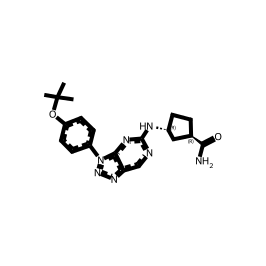 CC(C)(C)Oc1ccc(-n2nnc3cnc(N[C@@H]4CC[C@@H](C(N)=O)C4)nc32)cc1